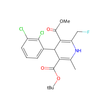 COC(=O)C1=C(CF)NC(C)=C(C(=O)OC(C)(C)C)C1c1cccc(Cl)c1Cl